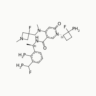 C[C@@H](NC(=O)c1cn([C@H]2CCC2(F)P)c(=O)cc1N(C)CC1(F)CN(C)C1)c1cccc(C(F)P)c1P